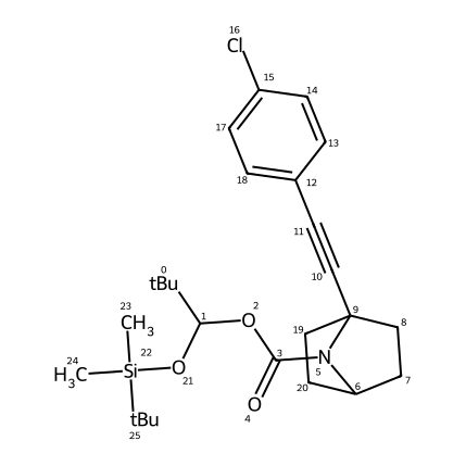 CC(C)(C)C(OC(=O)N1C2CCC1(C#Cc1ccc(Cl)cc1)CC2)O[Si](C)(C)C(C)(C)C